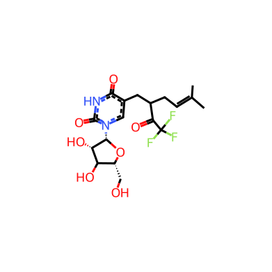 CC(C)=CCC(Cc1cn([C@@H]2O[C@H](CO)C(O)[C@@H]2O)c(=O)[nH]c1=O)C(=O)C(F)(F)F